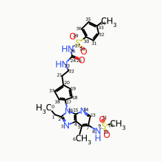 CCc1nc2c(C)c(NS(C)(=O)=O)cnc2n1-c1ccc(CCNC(=O)NS(=O)(=O)c2ccc(C)cc2)cc1